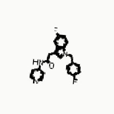 O=C(Cc1cn(Cc2ccc(F)cc2)c2ccc(F)cc12)Nc1ccncc1